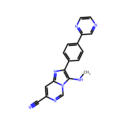 CNc1c(-c2ccc(-c3cnccn3)cc2)nc2cc(C#N)ncn12